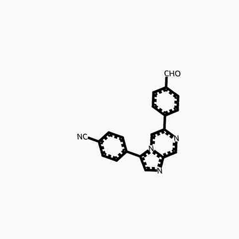 N#Cc1ccc(-c2cnc3cnc(-c4ccc(C=O)cc4)cn23)cc1